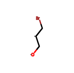 [O]C[CH]CBr